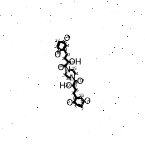 O=C1C=CC(=O)C(CCC(O)C(=O)N2CCN(C(=O)C(O)CCC3=CC(=O)C=CC3=O)CC2)=C1